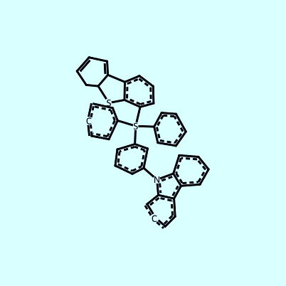 C1=CCC2Sc3c(cccc3S(c3ccccc3)(c3ccccc3)c3cccc(-n4c5ccccc5c5ccccc54)c3)C2=C1